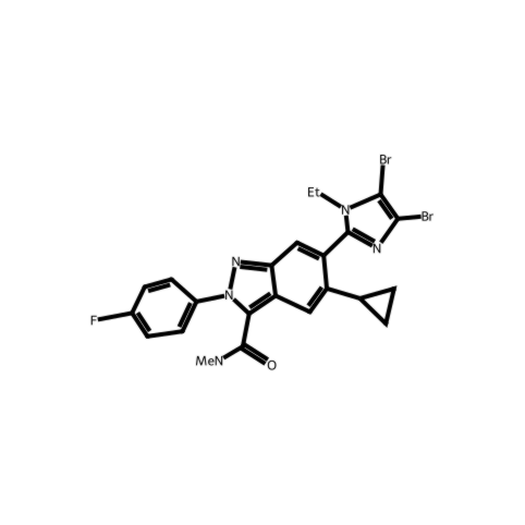 CCn1c(-c2cc3nn(-c4ccc(F)cc4)c(C(=O)NC)c3cc2C2CC2)nc(Br)c1Br